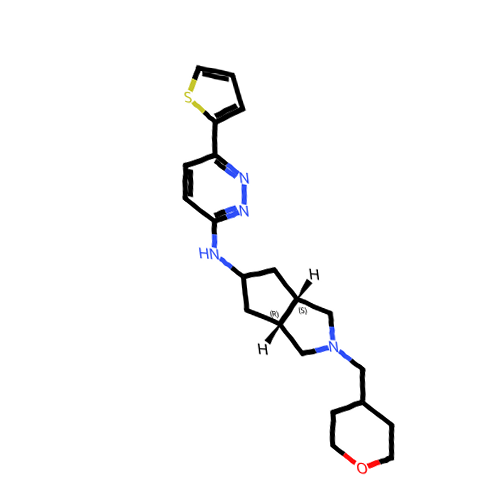 c1csc(-c2ccc(NC3C[C@@H]4CN(CC5CCOCC5)C[C@@H]4C3)nn2)c1